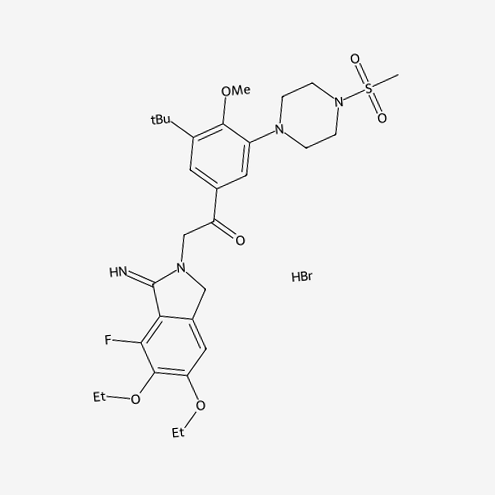 Br.CCOc1cc2c(c(F)c1OCC)C(=N)N(CC(=O)c1cc(N3CCN(S(C)(=O)=O)CC3)c(OC)c(C(C)(C)C)c1)C2